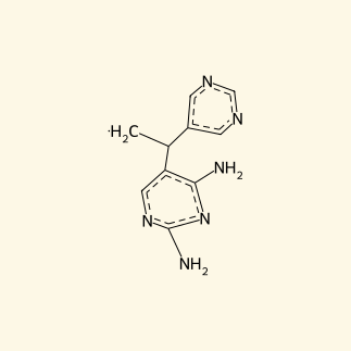 [CH2]C(c1cncnc1)c1cnc(N)nc1N